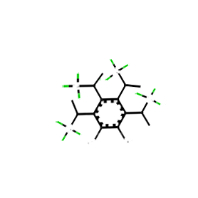 CCCc1c(CCC)c(C(C)[Si](Cl)(Cl)Cl)c(C(C)[Si](Cl)(Cl)Cl)c(C(C)[Si](Cl)(Cl)Cl)c1C(C)[Si](Cl)(Cl)Cl